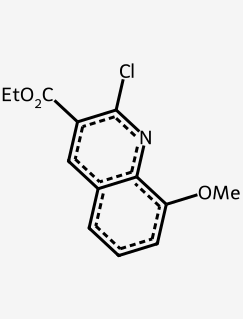 CCOC(=O)c1cc2cccc(OC)c2nc1Cl